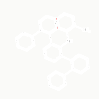 Nc1ccccc1Nc1c(-c2ccccc2-c2ccccc2)cccc1-c1ccccc1-c1ccccc1